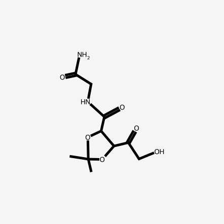 CC1(C)OC(C(=O)CO)C(C(=O)NCC(N)=O)O1